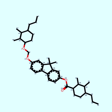 CCCC1CCC(OCOc2ccc3c(c2)C(C)(C)c2cc(OC(=O)C4CCC(CCC)C(C)C4C)ccc2-3)C(C)C1C